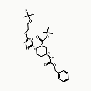 CC(C)(C)OC(=O)N1C[C@@H](NC(=O)OCc2ccccc2)CC[C@@H]1c1nnc(OCCOC(F)(F)F)o1